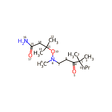 CCCC(C)(C)C(=O)CCN(C)OC(C)(C)CC(N)=O